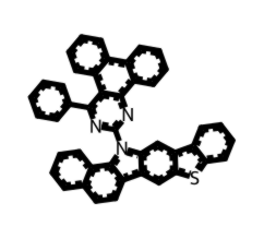 c1ccc(-c2nc(-n3c4cc5c(cc4c4ccc6ccccc6c43)sc3ccccc35)nc3c4ccccc4c4ccccc4c23)cc1